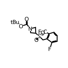 CC(C)(C)OC(=O)N1CC(S(=O)(=O)Cc2c(F)cccc2C(F)(F)F)C1